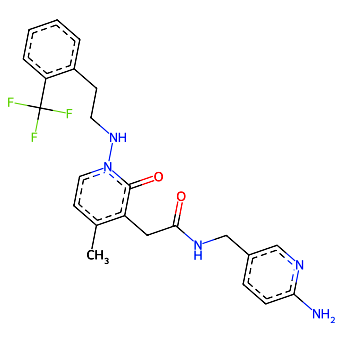 Cc1ccn(NCCc2ccccc2C(F)(F)F)c(=O)c1CC(=O)NCc1ccc(N)nc1